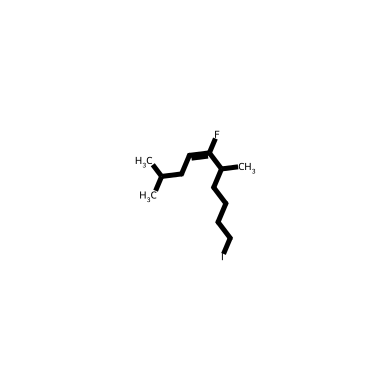 CC(C)C/C=C(/F)C(C)CCCCI